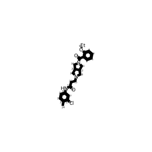 CCOc1ccccc1C(=O)N1CC2CN(CCC(=O)Nc3ccc(C)c(Cl)c3)CC2C1